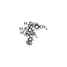 Cc1ccc(C2c3c(C)c(NC(=O)c4ccc5c(c4)OCO5)c(C)c(C)c3OC2(C)C)cc1